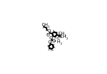 CCCCOC(=O)c1ccc(C(C)(C)C)cc1OC(=O)Oc1ccccc1